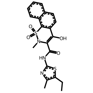 CCc1sc(NC(=O)C2=C(O)c3ccc4ccccc4c3S(=O)(=O)N2C)nc1C